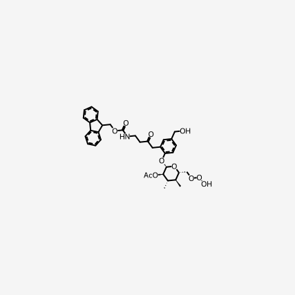 CC(=O)O[C@H]1[C@H](Oc2ccc(CO)cc2CC(=O)CCNC(=O)OCC2c3ccccc3-c3ccccc32)O[C@H](COOO)[C@@H](C)[C@@H]1C